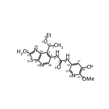 CCOC(C)c1c(NC(=O)Nc2cnc(OC)c(Cl)c2)cnc2sc(C)nc12